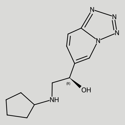 O[C@@H](CNC1CCCC1)c1ccc2nnnn2c1